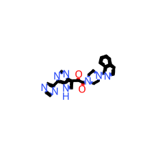 O=C(C(=O)N1CCN(c2nccc3ccccc23)CC1)c1c[nH]c2c(-c3cnccn3)ncnc12